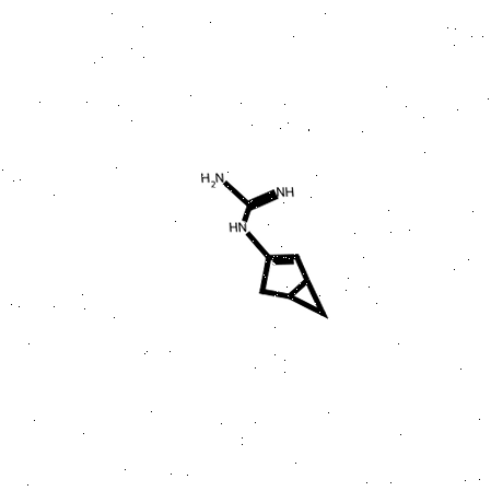 N=C(N)NC1=CC2CC2C1